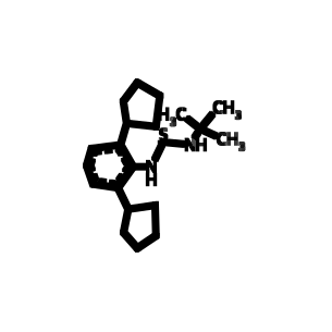 CC(C)(C)NC(=S)Nc1c(C2CCCC2)cccc1C1CCCC1